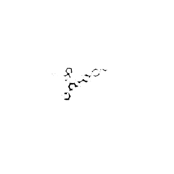 CCOC(=O)CCN1CCN(c2cnc(-c3nc4nc(-c5cnc(C(F)(F)F)c(C(F)(F)F)c5)cc(N(C)CC5(COC)CCCC5)c4[nH]3)cn2)CC1